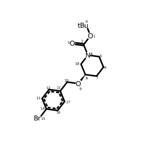 CC(C)(C)OC(=O)N1CCC[C@@H](OCc2ccc(Br)cc2)C1